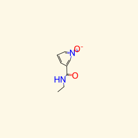 CCNC(=O)c1ccc[n+]([O-])c1